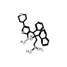 COc1ncc(C2CCOCC2)cc1C(c1ccccc1)C(O)(CCN(C)C)c1cccc2ccccc12